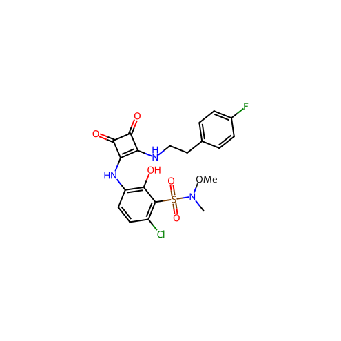 CON(C)S(=O)(=O)c1c(Cl)ccc(Nc2c(NCCc3ccc(F)cc3)c(=O)c2=O)c1O